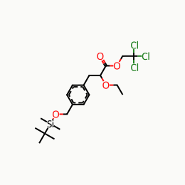 CCOC(Cc1ccc(CO[Si](C)(C)C(C)(C)C)cc1)C(=O)OCC(Cl)(Cl)Cl